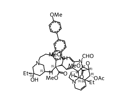 CC[C@]1(O)C[C@H]2CN(CCc3c([nH]c4ccc(-c5ccc(OC)cc5)cc34)[C@@](C(=O)OC)(C3C=C4C(=CC3OC)N(C=O)[C@@]35O[C@]3(C(=O)OC)[C@H](OC(C)=O)[C@]3(CC)C=CCN6CC[C@]45[C@@H]63)C2)C1